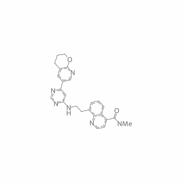 CNC(=O)c1ccnc2c(CCNc3cc(-c4cnc5c(c4)CCCO5)ncn3)cccc12